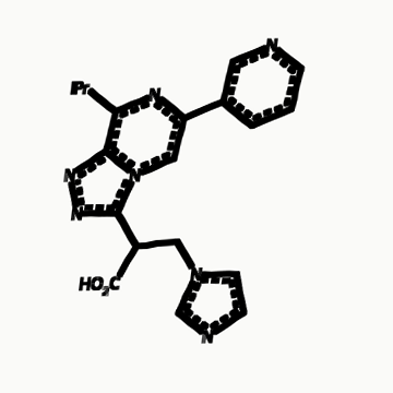 CC(C)c1nc(-c2cccnc2)cn2c(C(Cn3ccnc3)C(=O)O)nnc12